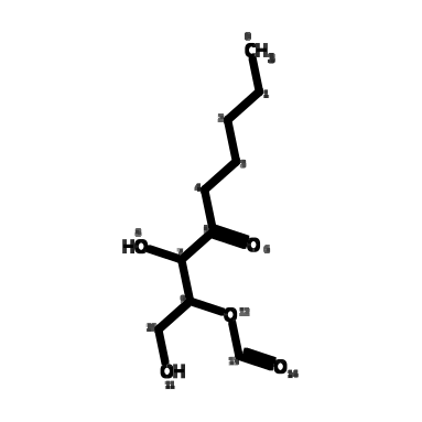 CCCCCC(=O)C(O)C(CO)OC=O